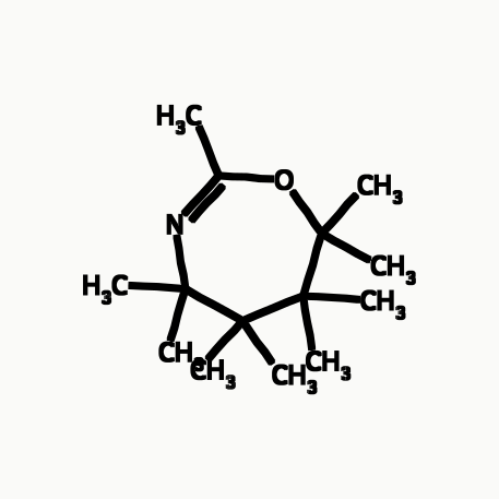 CC1=NC(C)(C)C(C)(C)C(C)(C)C(C)(C)O1